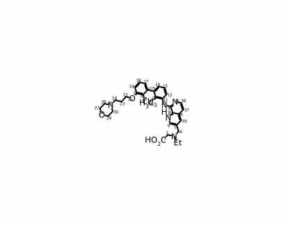 CCN(CC(=O)O)Cc1cnc2c(Nc3cccc(-c4cccc(OCCCN5CCOCC5)c4C)c3C)nccc2c1